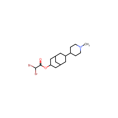 CN1CCC(C2CC3CC(CC(OC(=O)C(Br)Br)C3)C2)CC1